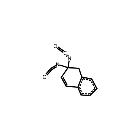 O=C=NC1(N=C=O)C=Cc2ccccc2C1